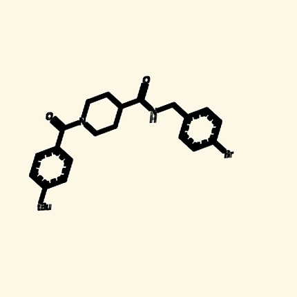 CC(C)(C)c1ccc(C(=O)N2CCC(C(=O)NCc3ccc(Br)cc3)CC2)cc1